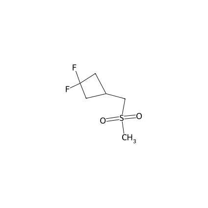 CS(=O)(=O)CC1CC(F)(F)C1